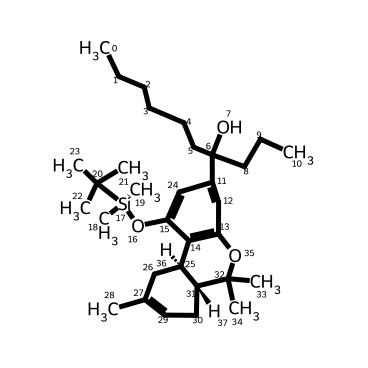 CCCCCCC(O)(CCC)c1cc2c(c(O[Si](C)(C)C(C)(C)C)c1)[C@@H]1CC(C)=CC[C@H]1C(C)(C)O2